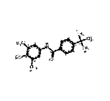 Cc1cc(NC(=O)c2ccc(C(C)(C)C)cc2)cc(C)c1O